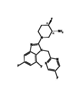 N[C@@H]1CN(c2nc3cc(F)cc(F)c3n2Cc2ncc(F)cn2)CC[C@H]1F